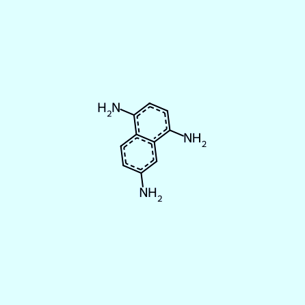 Nc1ccc2c(N)ccc(N)c2c1